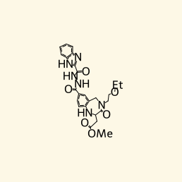 CCOCCN1Cc2cc(C(=O)NNC(=O)c3nc4ccccc4[nH]3)ccc2NC(CC(=O)OC)C1=O